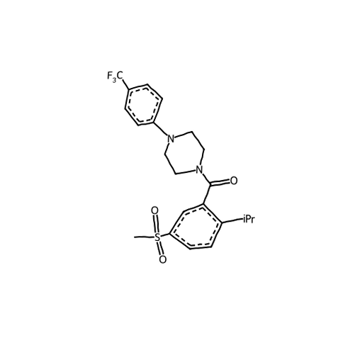 CC(C)c1ccc(S(C)(=O)=O)cc1C(=O)N1CCN(c2ccc(C(F)(F)F)cc2)CC1